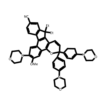 CCC1(CC)c2cc(C#N)ccc2-c2c1c1c(c3cc(OC)c(N4CCOCC4)cc23)OC(C2=CC=C(N3CCOCC3)CC2)(c2ccc(N3CCOCC3)cc2)C=C1